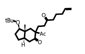 C=CCCCC(=O)CCC1(C(C)=O)C[C@]2(C)[C@H](CC[C@H]2OC(C)(C)C)CC1=O